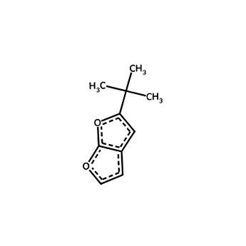 CC(C)(C)c1cc2ccoc2o1